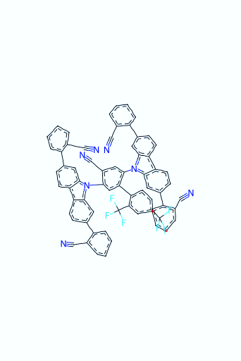 N#Cc1ccccc1-c1ccc2c3ccc(-c4ccccc4C#N)cc3n(-c3cc(-c4ccc(C(F)(F)F)cc4C(F)(F)F)c(-n4c5cc(-c6ccccc6C#N)ccc5c5ccc(-c6ccccc6C#N)cc54)cc3C#N)c2c1